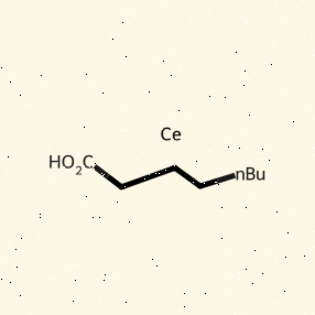 CCCCCCCC(=O)O.[Ce]